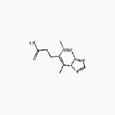 Cc1nc2ncnn2c(C)c1CCC(N)=O